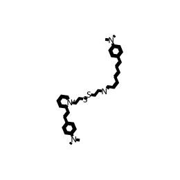 CN(C)c1ccc(/C=C/C=C/C=C\C=N\CCSSCC[n+]2ccccc2/C=C/c2ccc(N(C)C)cc2)cc1